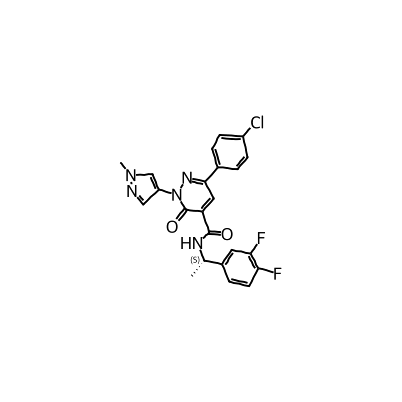 C[C@H](NC(=O)c1cc(-c2ccc(Cl)cc2)nn(-c2cnn(C)c2)c1=O)c1ccc(F)c(F)c1